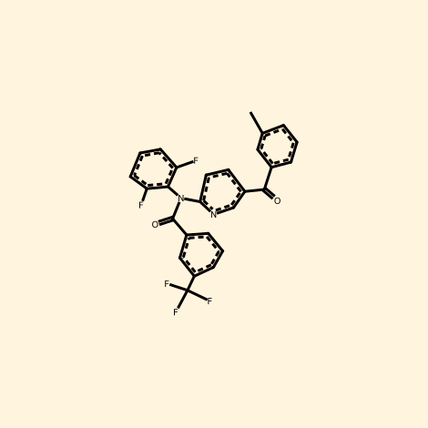 Cc1cccc(C(=O)c2ccc(N(C(=O)c3cccc(C(F)(F)F)c3)c3c(F)cccc3F)nc2)c1